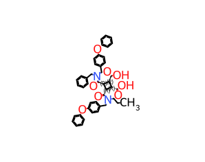 CCCN(Cc1ccc(Oc2ccccc2)cc1)C(=O)[C@H]1[C@@H](C(=O)O)[C@H](C(=O)O)[C@@H]1C(=O)N(Cc1ccccc1)Cc1ccc(Oc2ccccc2)cc1